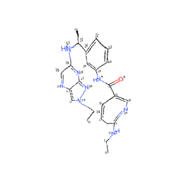 CCNc1ccc(C(=O)Nc2cccc([C@H](C)Nc3cnc4cn(CC)nc4n3)c2)cn1